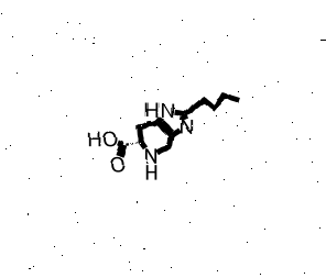 CCCCc1nc2c([nH]1)C[C@@H](C(=O)O)NC2